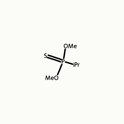 COP(=S)(OC)C(C)C